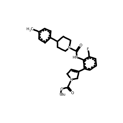 Cc1ccc(C2CCN(C(=O)Nc3c(F)cccc3C3=CCN(C(=O)OC(C)(C)C)C3)CC2)cc1